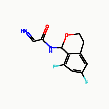 N=CC(=O)N[C]1OCCc2cc(F)cc(F)c21